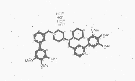 COc1cc(-c2cc(CN3CCC(N(Cc4ccnc(-c5cc(OC)c(OC)c(OC)c5)c4)C4CCCCC4)CC3)ccn2)cc(OC)c1OC.Cl.Cl.Cl.Cl